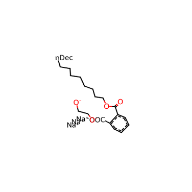 CCCCCCCCCCCCCCCCCCOC(=O)c1ccccc1C(=O)[O-].[Na+].[Na+].[Na+].[O-]CC[O-]